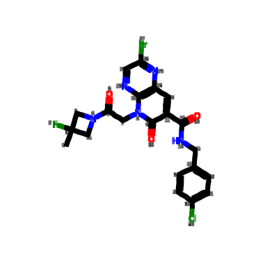 CC1(F)CN(C(=O)Cn2c(=O)c(C(=O)NCc3ccc(Cl)cc3)cc3nc(Br)cnc32)C1